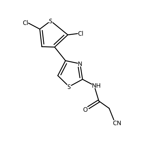 N#CCC(=O)Nc1nc(-c2cc(Cl)sc2Cl)cs1